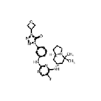 CC1(C)C[C@H](Nc2nc(Nc3cccc(-n4nnn(C5COC5)c4=O)c3)ncc2F)C[C@H]2CCCN21